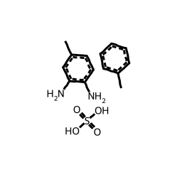 Cc1ccc(N)c(N)c1.Cc1ccccc1.O=S(=O)(O)O